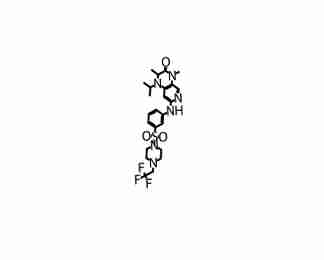 CC(C)N1c2cc(Nc3cccc(S(=O)(=O)N4CCN(CC(F)(F)F)CC4)c3)ncc2N(C)C(=O)C1C